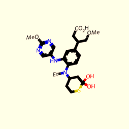 CCN(c1ccc(C(COC)CC(=O)O)cc1Nc1cnc(OC)nc1)C1CCSC(O)(O)C1